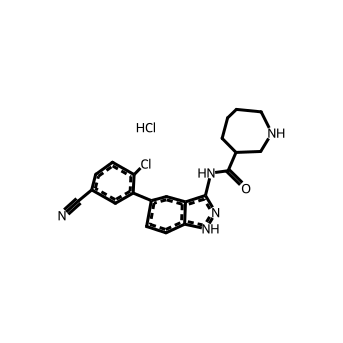 Cl.N#Cc1ccc(Cl)c(-c2ccc3[nH]nc(NC(=O)C4CCCCNC4)c3c2)c1